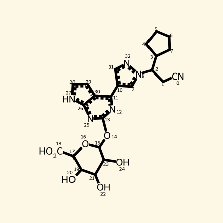 N#CCC(C1CCCC1)n1cc(-c2nc(OC3OC(C(=O)O)C(O)C(O)C3O)nc3[nH]ccc23)cn1